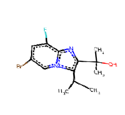 CC(C)c1c(C(C)(C)O)nc2c(F)cc(Br)cn12